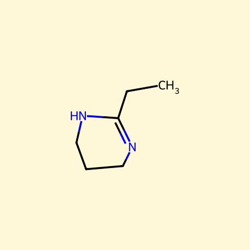 CCC1=NCCCN1